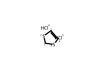 C1=CSCS1.Cl.Cl